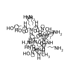 CC(C)C[C@H](NC(=O)[C@H](CCCCN)NC(=O)[C@H](CCCCN)NC(=O)[C@H](CC(N)=O)NC(=O)[C@H](C)NC(=O)[C@@H]1CCCN1C(=O)[C@H](CO)NC(=O)[C@@H](N)Cc1ccccc1)C(=O)N[C@H](C(=O)N1CCC[C@H]1C(=O)N[C@@H](CCCCN)C(=O)N[C@@H](CCCCN)C(=O)N[C@@H](Cc1ccc(O)cc1)C(=O)O)[C@@H](C)O